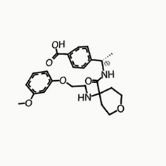 COc1cccc(OCCNC2(C(=O)N[C@@H](C)c3ccc(C(=O)O)cc3)CCOCC2)c1